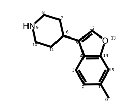 Cc1ccc2c(C3CCNCC3)coc2c1